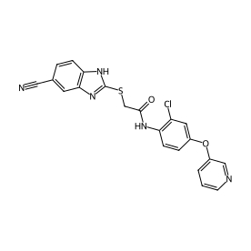 N#Cc1ccc2[nH]c(SCC(=O)Nc3ccc(Oc4cccnc4)cc3Cl)nc2c1